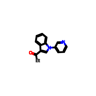 CCC(=O)c1cn(-c2cccnc2)c2ccccc12